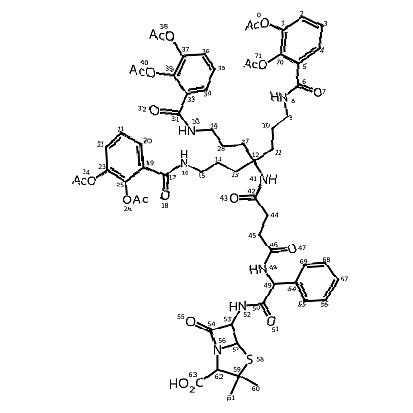 CC(=O)Oc1cccc(C(=O)NCCCC(CCCNC(=O)c2cccc(OC(C)=O)c2OC(C)=O)(CCCNC(=O)c2cccc(OC(C)=O)c2OC(C)=O)NC(=O)CCC(=O)NC(C(=O)NC2C(=O)N3C2SC(C)(C)C3C(=O)O)c2ccccc2)c1OC(C)=O